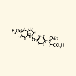 CCO[C@@H](CC(=O)O)c1ccc(O[C@@H]2CCc3cc(C(F)(F)F)ccc32)cc1